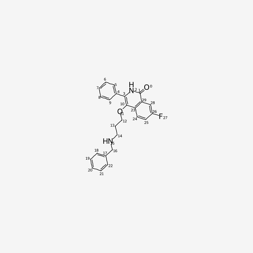 O=c1[nH]c(-c2ccccc2)c(OCCCNCc2ccccc2)c2ccc(F)cc12